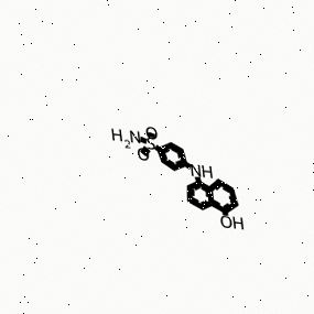 NS(=O)(=O)c1ccc(Nc2cccc3c(O)cccc23)cc1